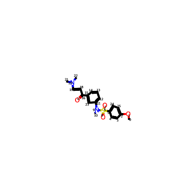 COc1ccc(S(=O)(=O)N(C)c2cccc(C(=O)C=CN(C)C)c2)cc1